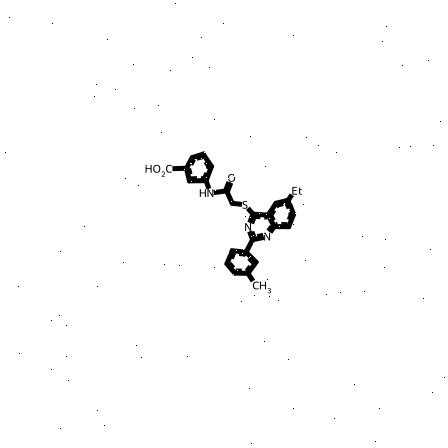 CCc1ccc2nc(-c3cccc(C)c3)nc(SCC(=O)Nc3cccc(C(=O)O)c3)c2c1